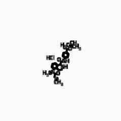 COCC(=O)N(C)c1cccc2c1CCNC2C(=O)Nc1ccc(C(=O)OC(C)(C)C)cc1.Cl